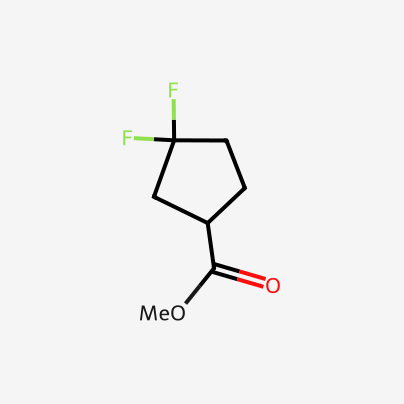 COC(=O)C1CCC(F)(F)C1